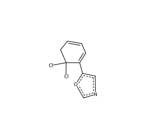 ClC1(Cl)C[C]=CC=C1c1cnco1